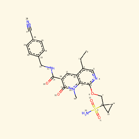 CCc1cnc(OCC2(S(N)(=O)=O)CC2)c2c1cc(C(=O)NCc1ccc(C#N)cc1)c(=O)n2C